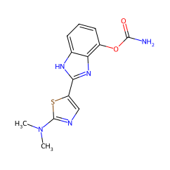 CN(C)c1ncc(-c2nc3c(OC(N)=O)cccc3[nH]2)s1